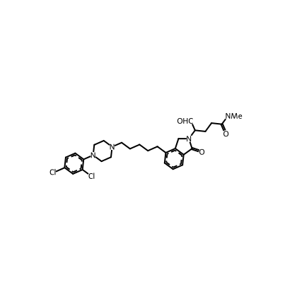 CNC(=O)CCC(C=O)N1Cc2c(CCCCCN3CCN(c4ccc(Cl)cc4Cl)CC3)cccc2C1=O